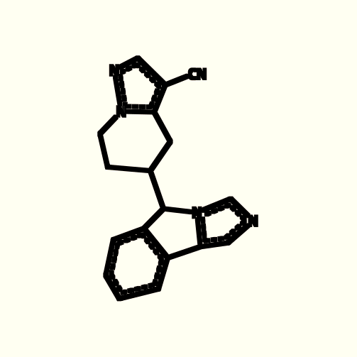 N#Cc1cnn2c1CC(C1c3ccccc3-c3cncn31)CC2